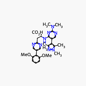 COc1cccc(OC)c1-c1cnc(C[C@H](Nc2nc(N(C)C)ncc2-c2c(C)nn(C)c2C)C(=O)O)nc1